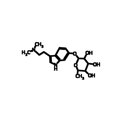 CC1OC(Oc2ccc3c(CCN(C)C)c[nH]c3c2)C(O)C(O)C1O